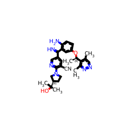 Cc1cnnc(C)c1[C@@H](C)Oc1ccc(N)c(C(=N)c2cnc(N3CC[C@@H](C(C)(C)O)C3)c(C#N)c2)c1